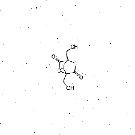 O=C1OC2(CO)OC1(CO)OC2=O